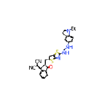 CCN1CCc2cc(NCNc3nc4sc(/C=C5\C(=O)c6ccccc6C5=C(C#N)C#N)cc4s3)ccc21